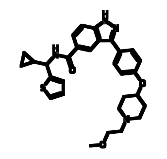 COCCN1CCC(Oc2ccc(-c3n[nH]c4ccc(C(=O)NC(c5cccs5)C5CC5)cc34)cc2)CC1